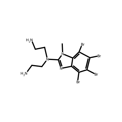 Cn1c(N(CCN)CCN)nc2c(Br)c(Br)c(Br)c(Br)c21